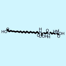 O=C(O)CCCCCCCCCCCCCCCCCCC(=O)N[C@@H](CCC(=O)NCCCC[C@H](NI)C(=O)O)C(=O)O